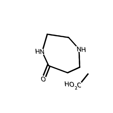 CC(=O)O.O=C1CCNCCN1